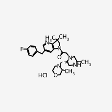 CC1COCCN1C[C@H]1CN[C@H](C)CN1CC(=O)N1CC(C)(C)c2ncc(Cc3ccc(F)cc3)cc21.Cl